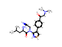 CC(C)CC(N)C(=O)N(CC#N)c1nscc1-c1ccc(C(=O)CN(C)C)cc1